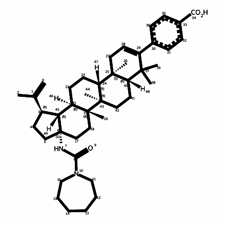 C=C(C)[C@@H]1CC[C@]2(NC(=O)N3CCCCCC3)CC[C@]3(C)[C@H](CC[C@@H]4[C@@]5(C)CC=C(c6ccc(C(=O)O)cc6)C(C)(C)[C@@H]5CC[C@]43C)[C@@H]12